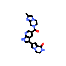 Cc1cn2c(n1)CN(C(=O)c1cnc3[nH]cc(-c4cc5n(c4)CCNC5=O)c3c1)CC2